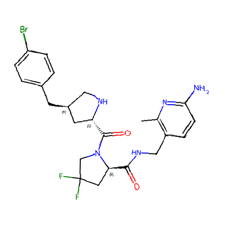 Cc1nc(N)ccc1CNC(=O)[C@H]1CC(F)(F)CN1C(=O)[C@@H]1C[C@@H](Cc2ccc(Br)cc2)CN1